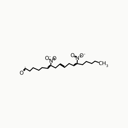 CCCCC/C(=C/C/C=C/C/C(=C/CCCC[C]=O)[N+](=O)[O-])[N+](=O)[O-]